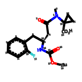 CN(C(=O)C[C@@H](Cc1ccccc1F)NC(=O)OC(C)(C)C)C1(C(=O)O)CC1